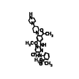 COc1cc(N2CCC(N3CCNCC3)CC2)c(C(C)=O)cc1Nc1ncc(Cl)c(Nc2ccccc2P(C)(C)=O)n1